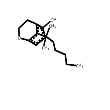 CCCCCC(C)(C)c1c2ccc(O)c1CCO2